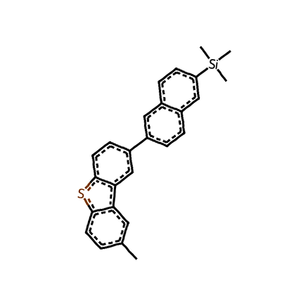 Cc1ccc2sc3ccc(-c4ccc5cc([Si](C)(C)C)ccc5c4)cc3c2c1